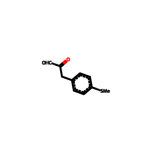 CSc1ccc(CC(=O)C=O)cc1